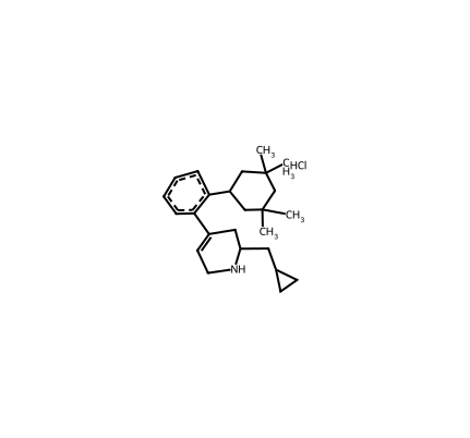 CC1(C)CC(c2ccccc2C2=CCNC(CC3CC3)C2)CC(C)(C)C1.Cl